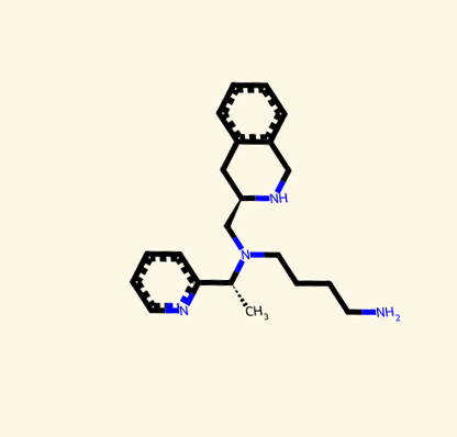 C[C@H](c1ccccn1)N(CCCCN)C[C@H]1Cc2ccccc2CN1